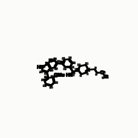 CCOCCN1CCN(C(=N)c2cccc(-c3cnc4[nH]cc(-c5ccccc5OC)c4c3)c2)CC1